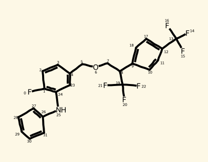 Fc1ccc(COCC(c2ccc(C(F)(F)F)cc2)C(F)(F)F)cc1Nc1ccccc1